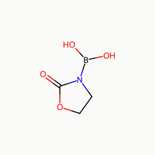 O=C1OCCN1B(O)O